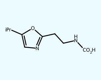 CC(C)c1cnc(CCNC(=O)O)o1